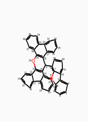 c1ccc2c(c1)oc1c(C3c4c(c5ccccc5c5ccccc45)Oc4c3c3ccccc3c3ccccc43)cccc12